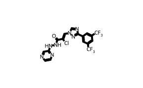 O=C(NNc1cnccn1)C(Cl)=Cn1cnc(-c2cc(C(F)(F)F)cc(C(F)(F)F)c2)n1